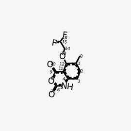 Cc1ccc2[nH]c(=O)oc(=O)c2c1OCC(F)F